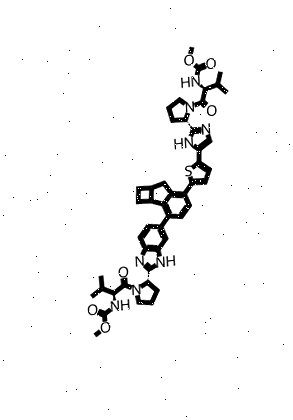 COC(=O)N[C@H](C(=O)N1CCC[C@H]1c1ncc(-c2ccc(-c3ccc(-c4ccc5nc([C@@H]6CCCN6C(=O)[C@@H](NC(=O)OC)C(C)C)[nH]c5c4)c4c3CC3CCC43)s2)[nH]1)C(C)C